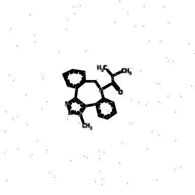 CC(C)C(=O)N1Cc2ccccc2-c2nnn(C)c2-c2ccccc21